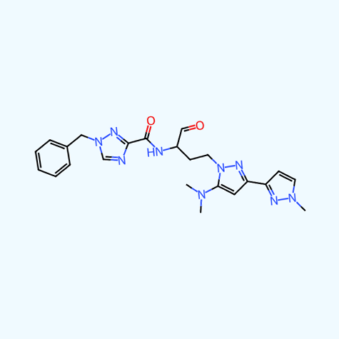 CN(C)c1cc(-c2ccn(C)n2)nn1CCC(C=O)NC(=O)c1ncn(Cc2ccccc2)n1